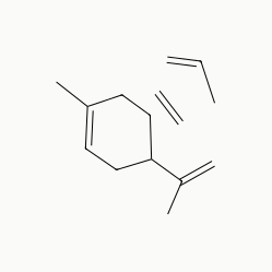 C=C.C=C(C)C1CC=C(C)CC1.C=CC